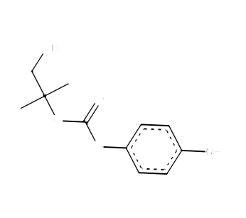 CC(C)(CO)OC(=O)Oc1ccc(N)cc1